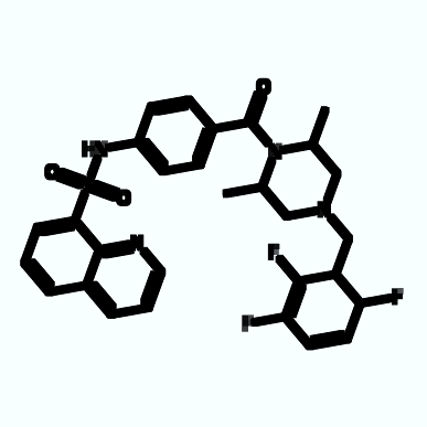 CC1CN(CC2C(F)=C(F)C=CC2F)CC(C)N1C(=O)c1ccc(NS(=O)(=O)c2cccc3cccnc23)cc1